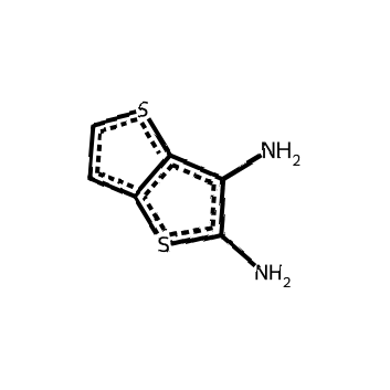 Nc1sc2ccsc2c1N